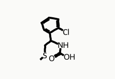 CSCC(NC(=O)O)c1ccccc1Cl